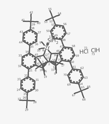 CC1=C(C(C)(C)C)[CH]([Zr]([CH3])([CH3])(=[SiH2])[CH]2C(C(C)(C)C)=C(C)c3c(-c4ccc(C(C)(C)C)cc4)ccc(-c4ccc(C(C)(C)C)cc4)c32)c2c(-c3ccc(C(C)(C)C)cc3)ccc(-c3ccc(C(C)(C)C)cc3)c21.Cl.Cl